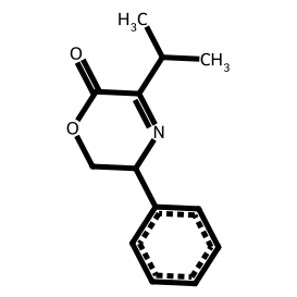 CC(C)C1=NC(c2ccccc2)COC1=O